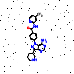 Nc1ncnc2c(C3CCCNC3)nn(-c3ccc(C(=O)Nc4cc(C(F)(F)F)ccn4)cc3)c12